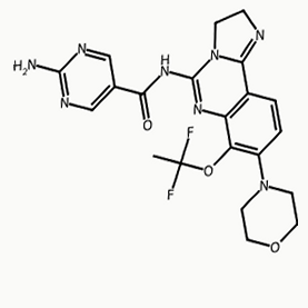 CC(F)(F)Oc1c(N2CCOCC2)ccc2c1N=C(NC(=O)c1cnc(N)nc1)N1CCN=C21